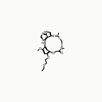 CCOCCOc1cc(OC)c2cc1OCC(=O)N(C)CCCN(C)Cc1c[nH]c3ncnc(c13)N2